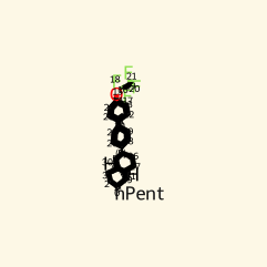 CCCCCC1CC[C@@H]2C[C@H](c3ccc(-c4ccc(OC(F)(F)C(F)F)cc4)cc3)CC[C@@H]2C1